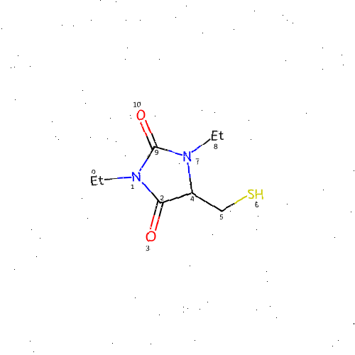 CCN1C(=O)C(CS)N(CC)C1=O